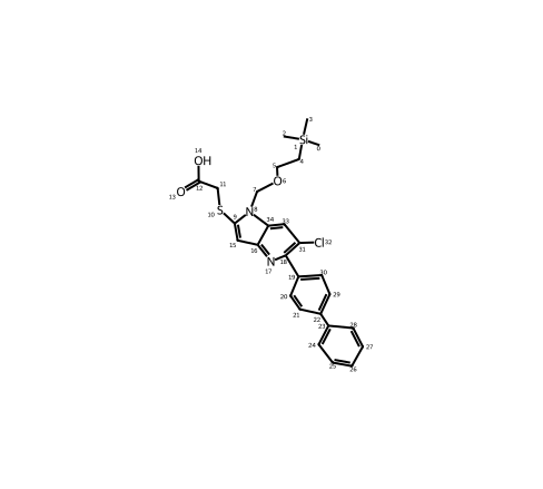 C[Si](C)(C)CCOCn1c(SCC(=O)O)cc2nc(-c3ccc(-c4ccccc4)cc3)c(Cl)cc21